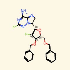 NC1=NC(F)=NN2C1=NCC2[C@@H]1O[C@H](COCc2ccccc2)[C@@H](OCc2ccccc2)[C@H]1F